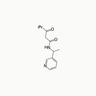 CC(C)C(=O)CC(=O)NC(C)c1cccnc1